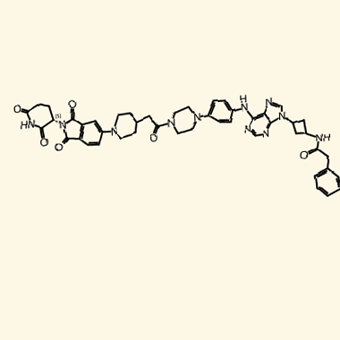 O=C1CC[C@H](N2C(=O)c3ccc(N4CCC(CC(=O)N5CCN(c6ccc(Nc7ncnc8c7ncn8C7CC(NC(=O)Cc8ccccc8)C7)cc6)CC5)CC4)cc3C2=O)C(=O)N1